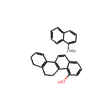 O=Cc1cccc2ccccc12.Oc1cccc2ccc3c(c12)CCC1=C3C=CCC1